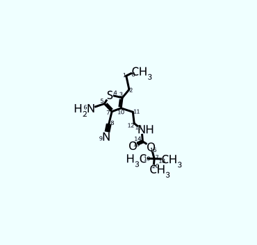 CCCc1sc(N)c(C#N)c1CCNC(=O)OC(C)(C)C